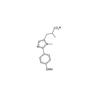 COc1ccc(-c2ncc(CC(C)C(=O)O)n2C)cc1